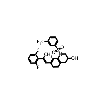 CC(=Cc1ccc2c(c1)N(S(=O)(=O)c1cccc(C(F)(F)F)c1)CC(O)C2)c1c(F)cccc1Cl